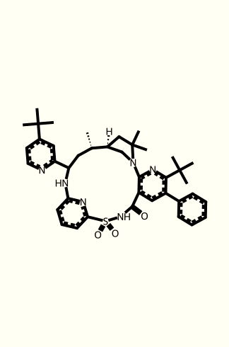 C[C@H]1CC(c2cc(C(C)(C)C)ccn2)Nc2cccc(n2)S(=O)(=O)NC(=O)c2cc(-c3ccccc3)c(C(C)(C)C)nc2N2C[C@@H]1CC2(C)C